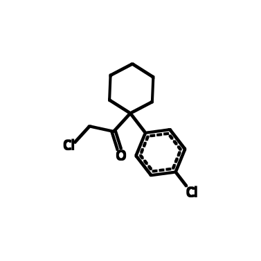 O=C(CCl)C1(c2ccc(Cl)cc2)CCCCC1